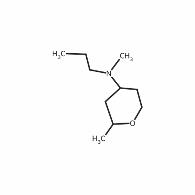 CCCN(C)C1CCOC(C)C1